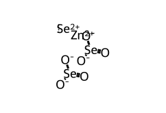 O=[Se]([O-])[O-].O=[Se]([O-])[O-].[Se+2].[Zn+2]